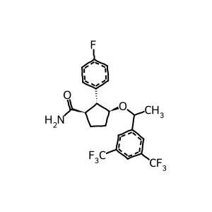 CC(O[C@H]1CC[C@@H](C(N)=O)[C@@H]1c1ccc(F)cc1)c1cc(C(F)(F)F)cc(C(F)(F)F)c1